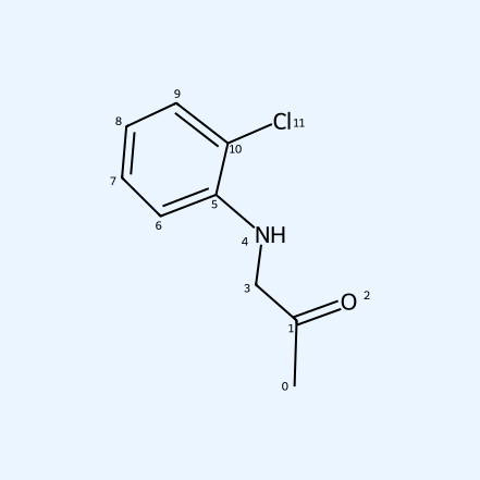 CC(=O)CNc1ccccc1Cl